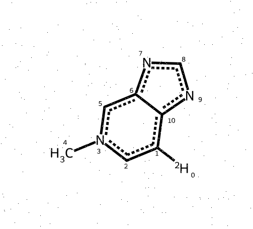 [2H]c1cn(C)cc2ncnc1-2